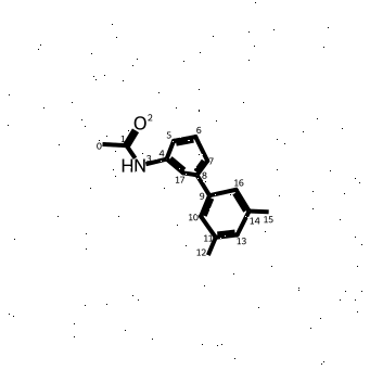 CC(=O)Nc1cccc(-c2cc(C)cc(C)c2)c1